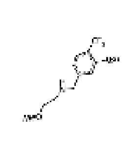 COCCNCc1ccc(C(F)(F)F)c(C(C)(C)C)c1